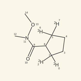 [2H]C1([2H])CCC([2H])([2H])C1C(=O)N(C)OC